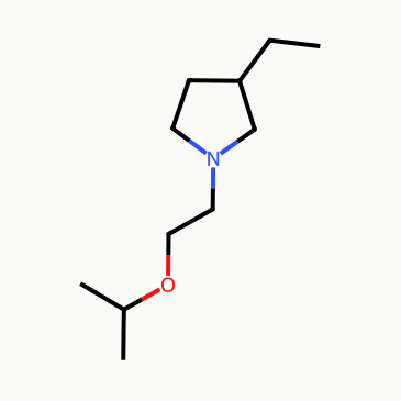 CCC1CCN(CCOC(C)C)C1